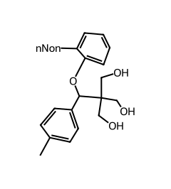 CCCCCCCCCc1ccccc1OC(c1ccc(C)cc1)C(CO)(CO)CO